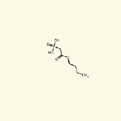 CCCCOC(=O)CP(=O)(O)O